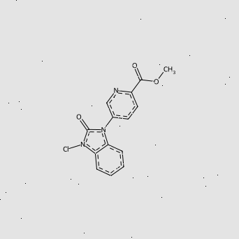 COC(=O)c1ccc(-n2c(=O)n(Cl)c3ccccc32)cn1